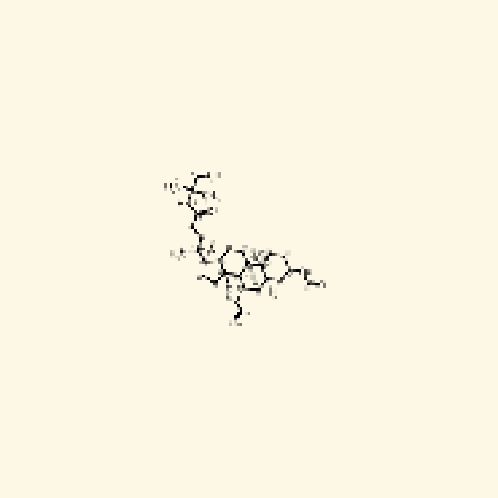 C[C@H](CCC(=O)NC(C)(C)CO)[C@H]1CC[C@H]2[C@@H]3[C@@H](OC=O)C[C@@H]4C[C@H](OC=O)CC[C@]4(C)[C@H]3CC[C@]12C